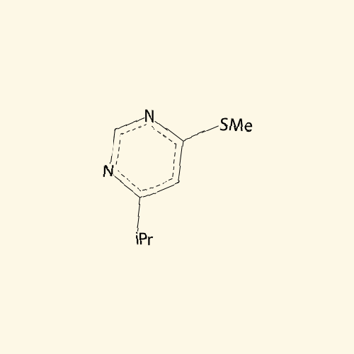 CSc1cc(C(C)C)ncn1